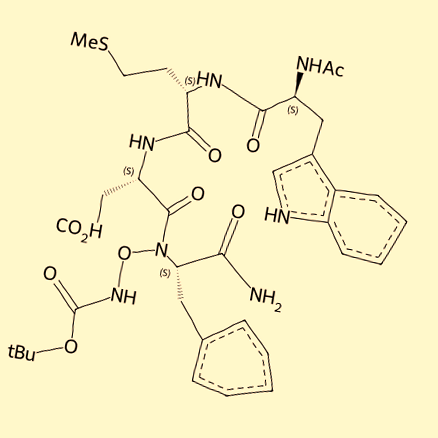 CSCC[C@H](NC(=O)[C@H](Cc1c[nH]c2ccccc12)NC(C)=O)C(=O)N[C@@H](CC(=O)O)C(=O)N(ONC(=O)OC(C)(C)C)[C@@H](Cc1ccccc1)C(N)=O